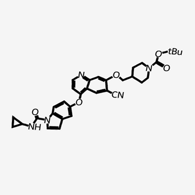 CC(C)(C)OC(=O)N1CCC(COc2cc3nccc(Oc4ccc5c(ccn5C(=O)NC5CC5)c4)c3cc2C#N)CC1